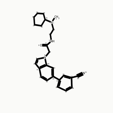 CN(CCNC(=O)Cn1ccc2ccc(-c3cccc(C#N)c3)cc21)C1CCCCC1